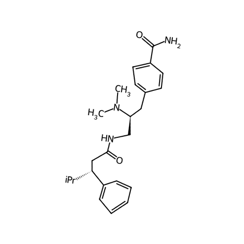 CC(C)[C@H](CC(=O)NC[C@H](Cc1ccc(C(N)=O)cc1)N(C)C)c1ccccc1